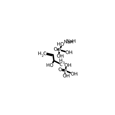 C=CC(C)O.O=P(O)(O)O.O=P(O)(O)O.[NaH].[NaH]